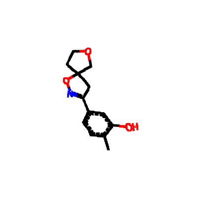 Cc1ccc(C2=NOC3(CCOC3)C2)cc1O